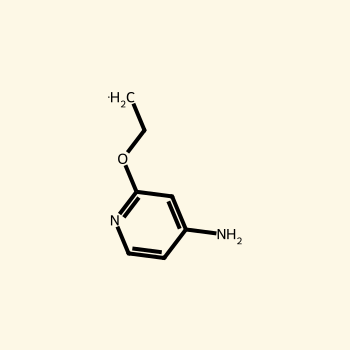 [CH2]COc1cc(N)ccn1